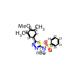 CCCCN(c1nnc(-c2cc(C)c(OC)c(C)c2)s1)S(=O)(=O)c1ccccc1